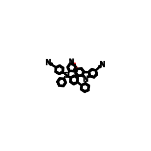 N#Cc1ccc([Si](c2ccccc2)(c2ccccc2)c2ccc(-c3ccccc3-n3c4ccc(C#N)cc4c4cc(C#N)ccc43)cc2)cc1